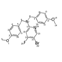 COc1ccc(CN(Cc2ccc(OC)cc2)c2cc(F)c(Br)cn2)cc1